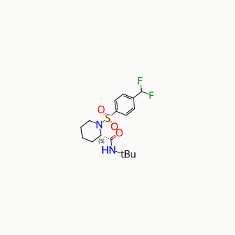 CC(C)(C)NC(=O)[C@@H]1CCCCN1S(=O)(=O)c1ccc(C(F)F)cc1